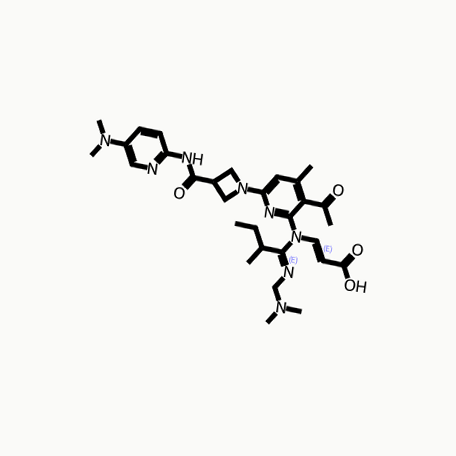 CCC(C)/C(=N\CN(C)C)N(/C=C/C(=O)O)c1nc(N2CC(C(=O)Nc3ccc(N(C)C)cn3)C2)cc(C)c1C(C)=O